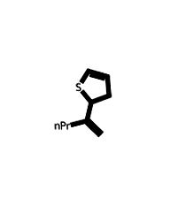 C=C(CCC)C1CC=CS1